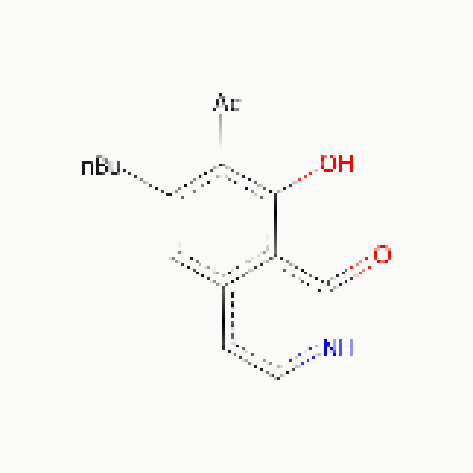 CCCCc1cc2cc[nH]c(=O)c2c(O)c1C(C)=O